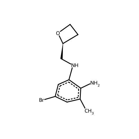 Cc1cc(Br)cc(NC[C@@H]2CCO2)c1N